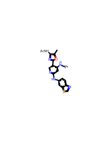 CC(=O)Nc1nc(-c2cnc(Nc3ccc4ncsc4c3)cc2NC(C)C)oc1C